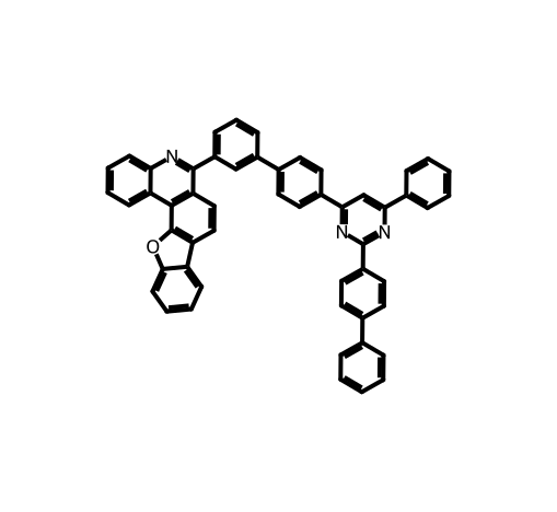 c1ccc(-c2ccc(-c3nc(-c4ccccc4)cc(-c4ccc(-c5cccc(-c6nc7ccccc7c7c6ccc6c8ccccc8oc67)c5)cc4)n3)cc2)cc1